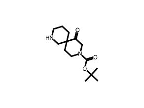 CC(C)(C)OC(=O)N1CCC2(CCCNC2)C(=O)C1